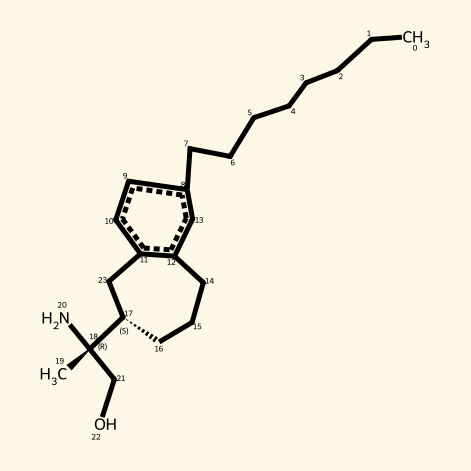 CCCCCCCCc1ccc2c(c1)CCC[C@H]([C@@](C)(N)CO)C2